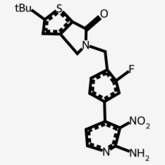 CC(C)(C)c1cc2c(s1)C(=O)N(Cc1ccc(-c3ccnc(N)c3[N+](=O)[O-])cc1F)C2